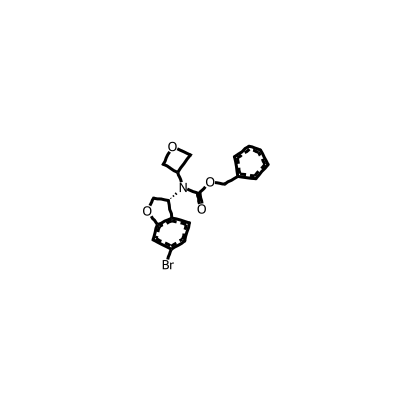 O=C(OCc1ccccc1)N(C1COC1)[C@H]1COc2cc(Br)ccc21